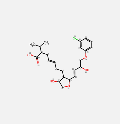 CC(C)C(CC=CCCC1C(O)COC1C=CC(O)COc1cccc(Cl)c1)C(=O)O